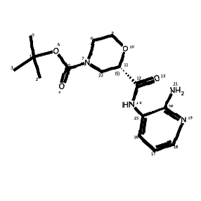 CC(C)(C)OC(=O)N1CCO[C@H](C(=O)Nc2cccnc2N)C1